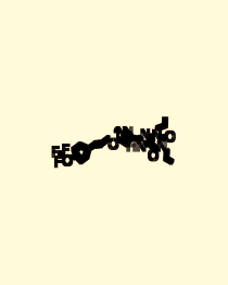 CCCn1c(=O)c2[nH]c(-c3cc(OCC#Cc4ccc(OC(F)(F)F)cc4)n(C)n3)nc2n(CCC)c1=O